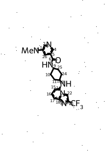 CNc1cncc(C(=O)NC2CCC(Nc3cccc4nc(C(F)(F)F)cn34)CC2)c1